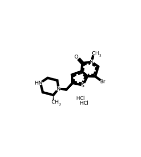 C[C@@H]1CNCCN1Cc1cc2c(=O)n(C)cc(Br)c2s1.Cl.Cl